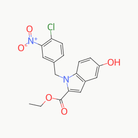 CCOC(=O)c1cc2cc(O)ccc2n1Cc1ccc(Cl)c([N+](=O)[O-])c1